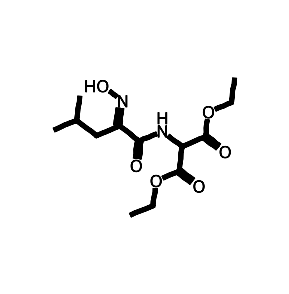 CCOC(=O)C(NC(=O)C(CC(C)C)=NO)C(=O)OCC